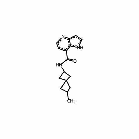 CC1CC2(C1)CC(NC(=O)c1ccnc3cc[nH]c13)C2